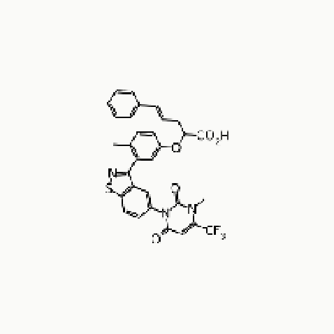 Cc1ccc(OC(CC=Cc2ccccc2)C(=O)O)cc1-c1nsc2ccc(-n3c(=O)cc(C(F)(F)F)n(C)c3=O)cc12